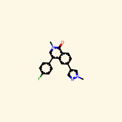 Cn1cc(-c2ccc3c(=O)n(C)cc(-c4c[c]c(F)cc4)c3c2)cn1